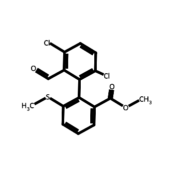 COC(=O)c1cccc(SC)c1-c1c(Cl)ccc(Cl)c1C=O